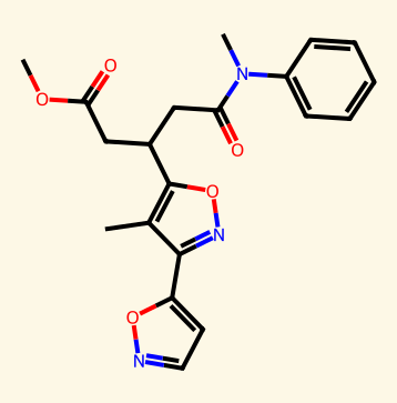 COC(=O)CC(CC(=O)N(C)c1ccccc1)c1onc(-c2ccno2)c1C